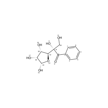 O=C(c1ccccc1)[C@](O)(CO)[C@H]1O[C@H](O)[C@H](O)[C@@H]1O